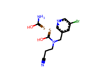 N#CCCN(Cc1cncc(Br)c1)C(O)=S.NC(O)=S